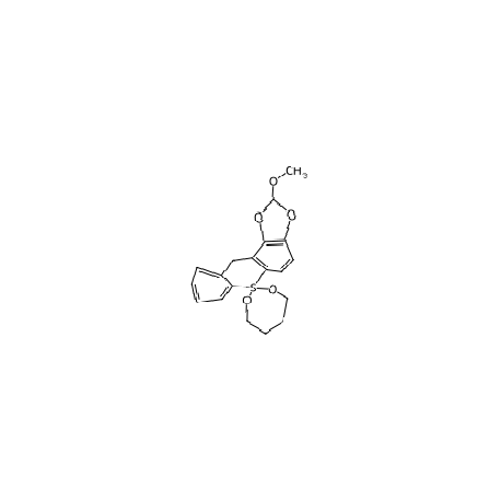 COC1Oc2ccc3c(c2O1)Cc1ccccc1S31OCCCCO1